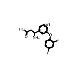 Cl.NC(CC(=O)O)c1cccc(Oc2ccc(F)cc2F)c1